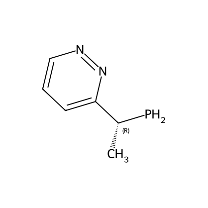 C[C@@H](P)c1cccnn1